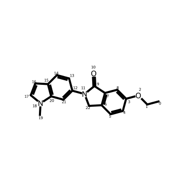 CCOc1ccc2c(c1)C(=O)N(c1ccc3ccn(C)c3c1)C2